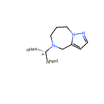 CCCCCC[C@@H](CCCCC)N1CCCn2nccc2C1